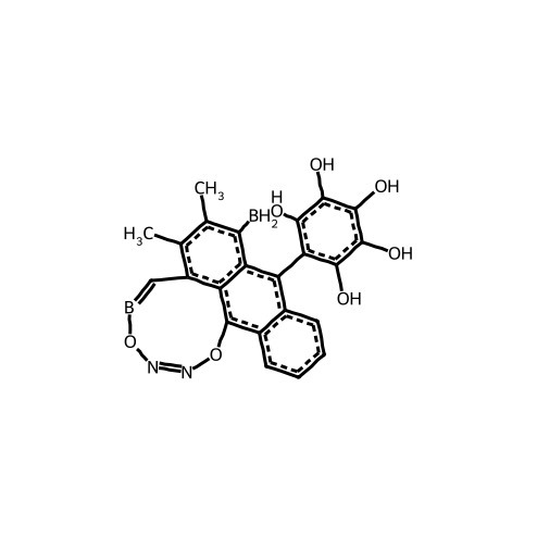 Bc1c(C)c(C)c2c3c(c4ccccc4c(-c4c(O)c(O)c(O)c(O)c4O)c13)ON=NOB=C2